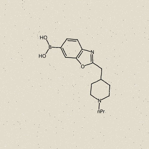 CCCN1CCC(Cc2nc3ccc(B(O)O)cc3o2)CC1